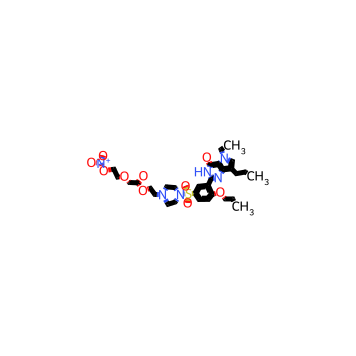 CCCOc1ccc(S(=O)(=O)N2CCN(CCOC(=O)COCCO[N+](=O)[O-])CC2)cc1-c1nc2c(CCC)cn(CC)c2c(=O)[nH]1